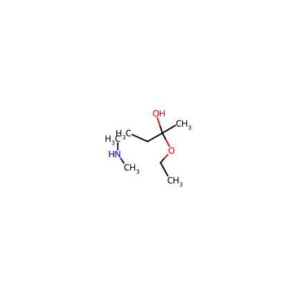 CCOC(C)(O)CC.CNC